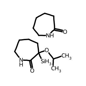 CC(C)OC1([SiH3])CCCCNC1=O.O=C1CCCCCN1